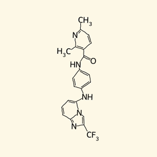 Cc1ccc(C(=O)Nc2ccc(Nc3cccc4nc(C(F)(F)F)cn34)cc2)c(C)n1